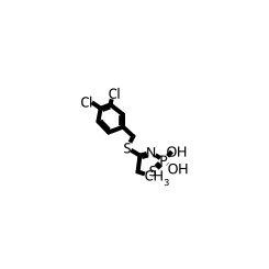 CCC(=NP(O)(O)=S)SCc1ccc(Cl)c(Cl)c1